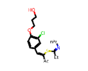 CCC/N=C(/CC)S/C(=C\c1ccc(OCCCO)c(Cl)c1)C(C)=O